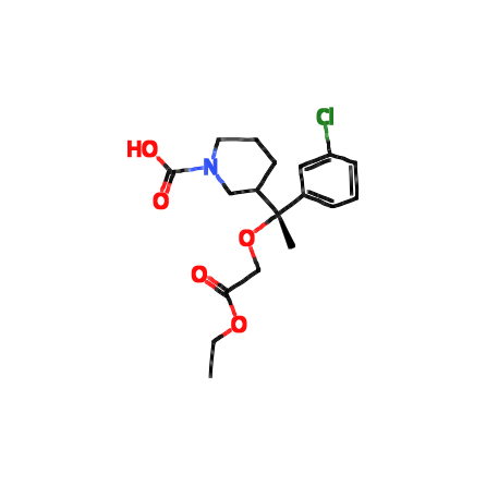 CCOC(=O)CO[C@@](C)(c1cccc(Cl)c1)C1CCCN(C(=O)O)C1